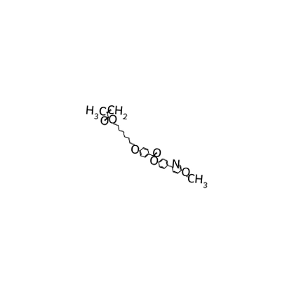 C=C(C)C(=O)OCCCCCCCCOc1ccc(C(=O)Oc2ccc(-c3ccc(OCC)cn3)cc2)cc1